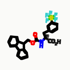 O=C(N[C@@H](Cc1cccc(S(F)(F)(F)(F)F)c1)C(=O)O)OCC1c2ccccc2-c2ccccc21